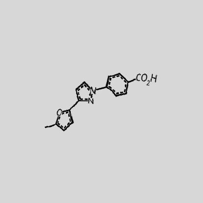 Cc1ccc(-c2ccn(-c3ccc(C(=O)O)cc3)n2)o1